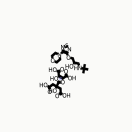 CC(C)(C)NC[C@H](O)COc1nsnc1N1CCOCC1.O=C(O)/C=C\C(=O)O.O=C(O)CC(O)(CC(=O)O)C(=O)O